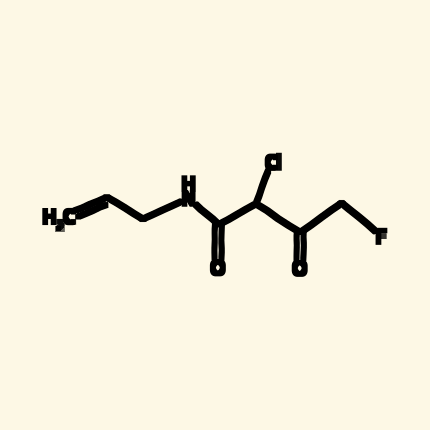 C=CCNC(=O)C(Cl)C(=O)CF